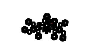 c1ccc(Oc2cc(Oc3ccccc3)c(-c3ccc(-c4c(Oc5ccccc5)c(Oc5ccccc5)c(-c5ccc(-c6c(Oc7ccccc7)cc(Oc7ccccc7)cc6Oc6ccccc6)s5)c5nsnc45)s3)c(Oc3ccccc3)c2)cc1